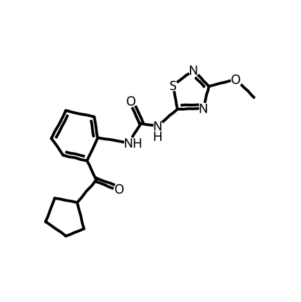 COc1nsc(NC(=O)Nc2ccccc2C(=O)C2CCCC2)n1